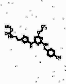 CC(C)(C)OC(=O)NCCn1cc(Nc2nc(NCc3ccc(O)cc3)nc(OCC(F)(F)F)n2)cn1